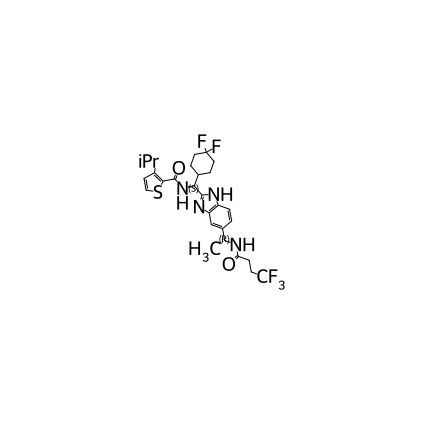 CC(C)c1ccsc1C(=O)N[C@H](c1nc2cc([C@@H](C)NC(=O)CCC(F)(F)F)ccc2[nH]1)C1CCC(F)(F)CC1